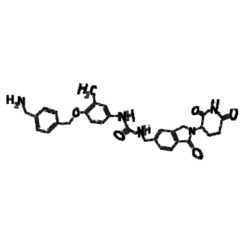 Cc1cc(NC(=O)NCc2ccc3c(c2)CN(C2CCC(=O)NC2=O)C3=O)ccc1OCc1ccc(CN)cc1